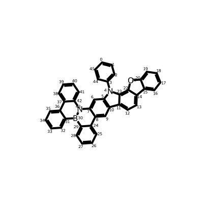 c1ccc(-n2c3cc4c(cc3c3ccc5c6ccccc6oc5c32)-c2ccccc2B2c3ccccc3-c3ccccc3N24)cc1